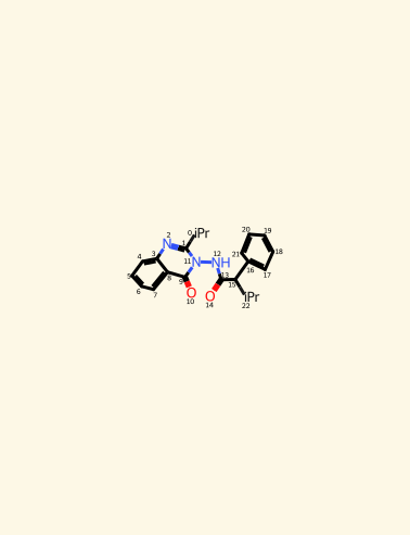 CC(C)c1nc2ccccc2c(=O)n1NC(=O)C(c1ccccc1)C(C)C